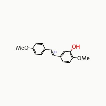 COc1ccc(/C=C/c2ccc(OC)c(O)c2)cc1